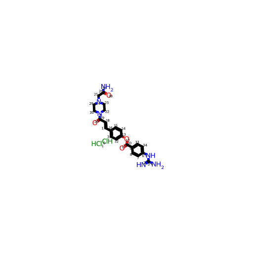 Cl.Cl.N=C(N)Nc1ccc(C(=O)Oc2ccc(C=CC(=O)N3CCN(CC(N)=O)CC3)cc2)cc1